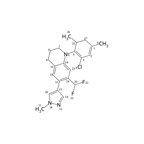 CC1=CC(Cl)=C(N2CCCc3cc(-c4cnn(C)c4)c(C(F)F)cc32)C(C)C1